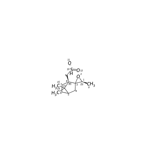 C[C@@H]1OC12CC1CC[C@@]2(C[SH](=O)=O)C1(C)C